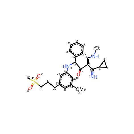 CCN/C=C(\C(=N)C1CC1)C(=O)C(Nc1cc(CCCS(C)(=O)=O)cc(OC)c1)c1ccccc1